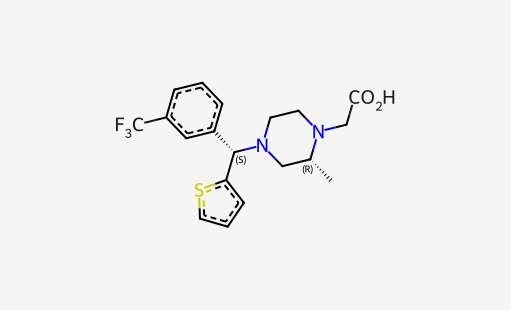 C[C@@H]1CN([C@@H](c2cccc(C(F)(F)F)c2)c2cccs2)CCN1CC(=O)O